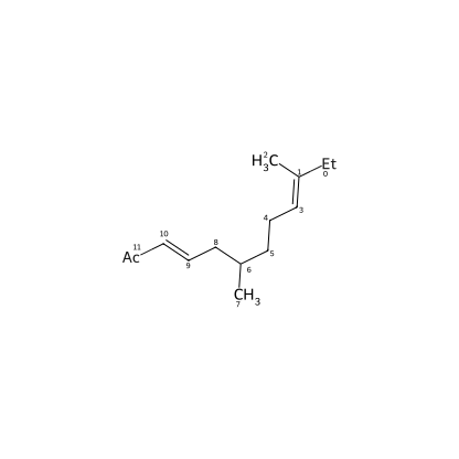 CCC(C)=CCCC(C)CC=CC(C)=O